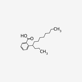 CCCCCCCCC(CCC)c1ccccc1C(=O)O